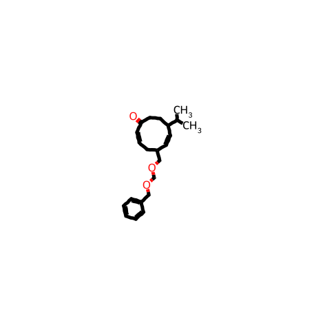 CC(C)C1C=CC(COCOCc2ccccc2)CC=CC(=O)CC1